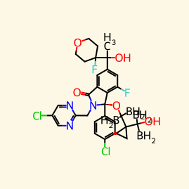 BC(B)(O)C1(C(B)(B)O[C@]2(c3ccc(Cl)cc3)c3c(F)cc(C(C)(O)C4(F)CCOCC4)cc3C(=O)N2Cc2ncc(Cl)cn2)CC1